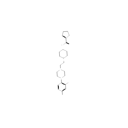 O=C(N[C@H]1CC[C@H](CCN2CCN(c3ccc(F)cc3F)CC2)CC1)C1=CCCC1